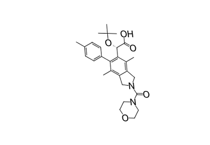 Cc1ccc(-c2c(C)c3c(c(C)c2[C@H](OC(C)(C)C)C(=O)O)CN(C(=O)N2CCOCC2)C3)cc1